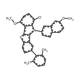 COc1ccc2ccc(-n3c4c(Cl)ccc(OC)c4c4sc5ccc(-c6c(C)cccc6C)cc5c43)cc2c1